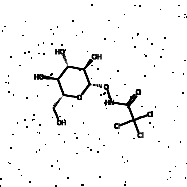 O=C(NO[C@@H]1O[C@H](CO)[C@@H](O)[C@H](O)[C@H]1O)C(Cl)(Cl)Cl